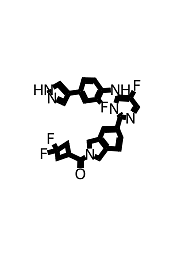 O=C(C1CC(F)(F)C1)N1Cc2ccc(-c3ncc(F)c(Nc4ccc(-c5cn[nH]c5)cc4F)n3)cc2C1